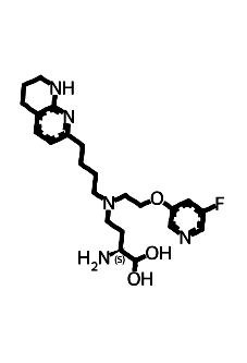 N[C@@H](CCN(CCCCc1ccc2c(n1)NCCC2)CCOc1cncc(F)c1)C(O)O